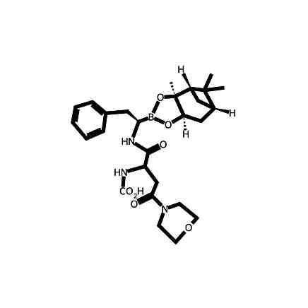 CC1(C)[C@@H]2C[C@H]3OB([C@H](Cc4ccccc4)NC(=O)C(CC(=O)N4CCOCC4)NC(=O)O)O[C@@]3(C)[C@H]1C2